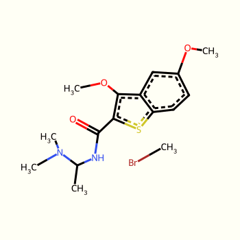 CBr.COc1ccc2sc(C(=O)NC(C)N(C)C)c(OC)c2c1